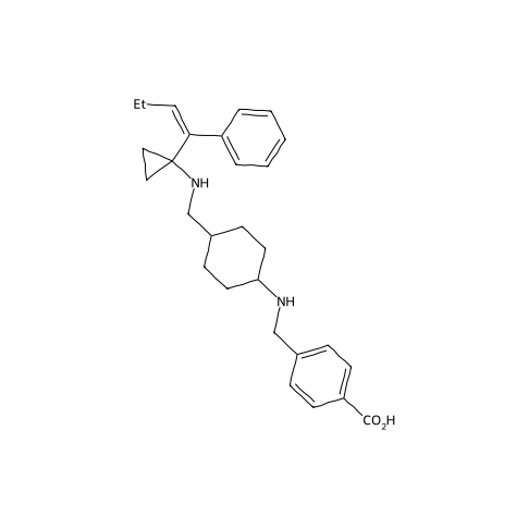 CCC=C(c1ccccc1)C1(NCC2CCC(NCc3ccc(C(=O)O)cc3)CC2)CC1